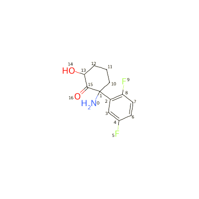 NC1(c2cc(F)ccc2F)CCCC(O)C1=O